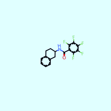 O=C(NC1CCc2ccccc2C1)c1c(F)c(F)c(F)c(F)c1F